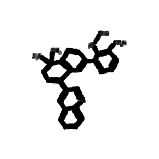 CC1(C)CC=C(c2cnc3ccccc3c2)c2cc(-c3cccc(C(=O)O)c3NC=O)ccc21